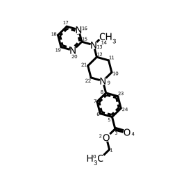 CCOC(=O)c1ccc(N2CCC(N(C)c3ncccn3)CC2)cc1